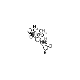 CC(=O)Oc1cc(NCc2cc(Br)cc(Cl)c2O)ccc1C(=O)OC1CC2CCC1(C)C2(C)C